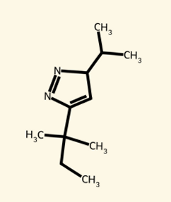 CCC(C)(C)C1=CC(C(C)C)N=N1